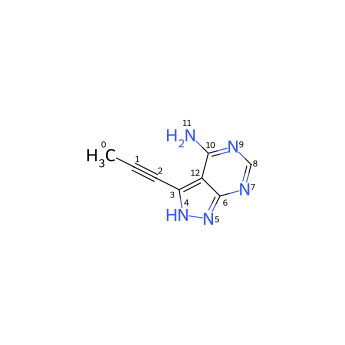 CC#Cc1[nH]nc2ncnc(N)c12